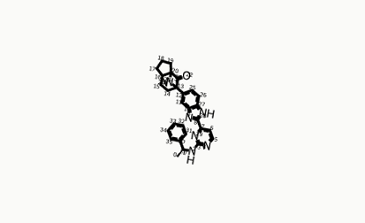 C[C@H](Nc1nccc(-c2nc3cc(C45CCC6CCCC6(C4=O)[N+]5=[N-])ccc3[nH]2)n1)c1ccccc1